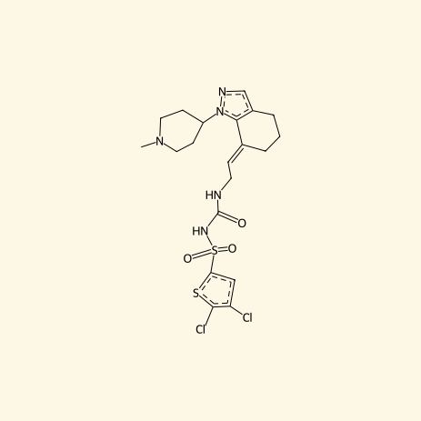 CN1CCC(n2ncc3c2C(=CCNC(=O)NS(=O)(=O)c2cc(Cl)c(Cl)s2)CCC3)CC1